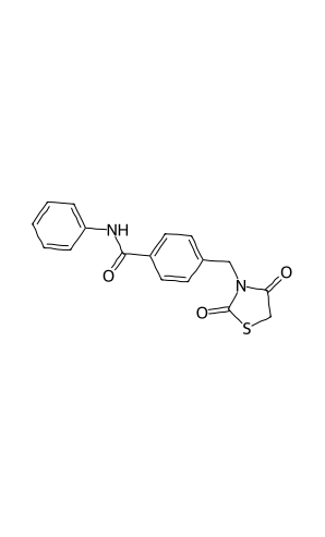 O=C(Nc1ccccc1)c1ccc(CN2C(=O)CSC2=O)cc1